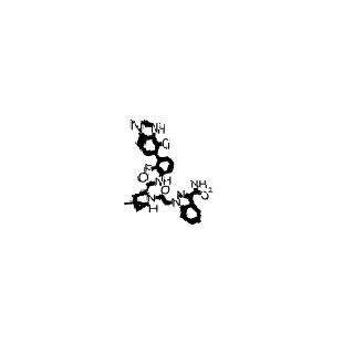 C[C@@]12C[C@@H](C(=O)Nc3cccc(-c4ccc5nc[nH]c5c4Cl)c3F)N(C(=O)Cn3nc(C(N)=O)c4ccccc43)[C@@H]1C2